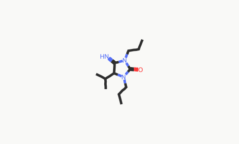 CCCN1C(=N)C(C(C)C)N(CCC)C1=O